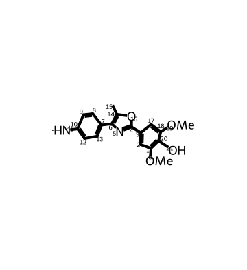 COc1cc(-c2nc(-c3ccc([NH])cc3)c(C)o2)cc(OC)c1O